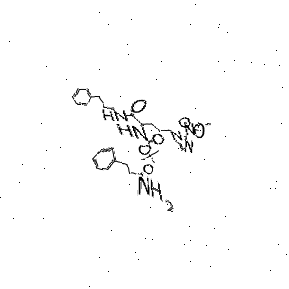 CC(C)(C)OC(=O)NC(CCCn1ccnc1[N+](=O)[O-])C(=O)NCCCc1ccccc1.NC(=O)CCc1ccccc1